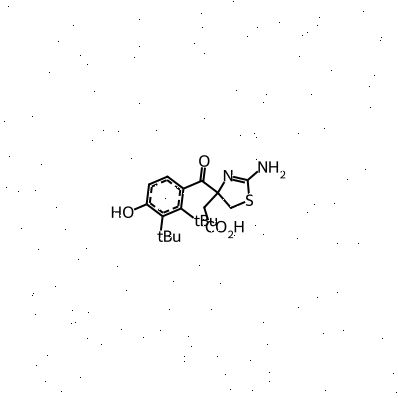 CC(C)(C)c1c(O)ccc(C(=O)C2(CC(=O)O)CSC(N)=N2)c1C(C)(C)C